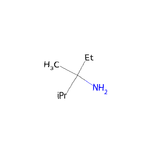 [CH2]CC(C)(N)C(C)C